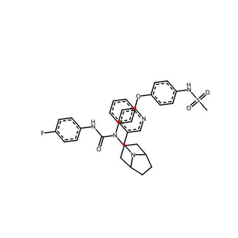 CS(=O)(=O)Nc1ccc(Oc2ccc(CN3C4CCC3CC(N(C(=O)Nc3ccc(F)cc3)c3ccccc3)C4)cn2)cc1